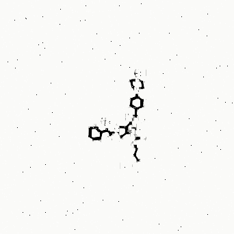 CCCCOC(=O)n1nc(NC(=O)c2ccc(N3CCN(C)CC3)cc2)c2c1CN(C(=O)[C@H](OC)c1ccccc1)C2